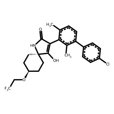 Cc1ccc(-c2ccc(Cl)cc2)c(C)c1C1=C(O)[C@]2(CC[C@H](OCC(F)(F)F)CC2)NC1=O